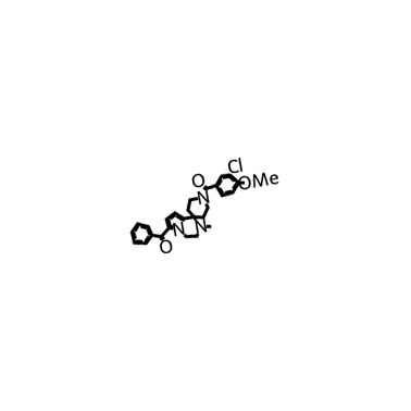 COc1ccc(C(=O)N2CCC3(CC2)c2ccc(C(=O)c4ccccc4)n2CCN3C)cc1Cl